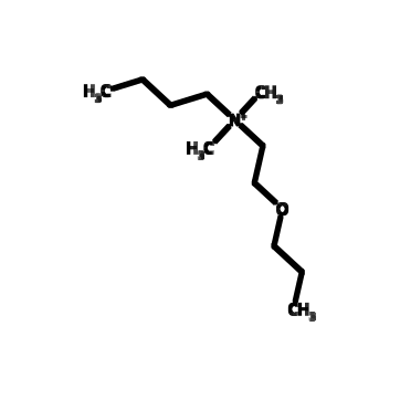 CCCC[N+](C)(C)CCOCCC